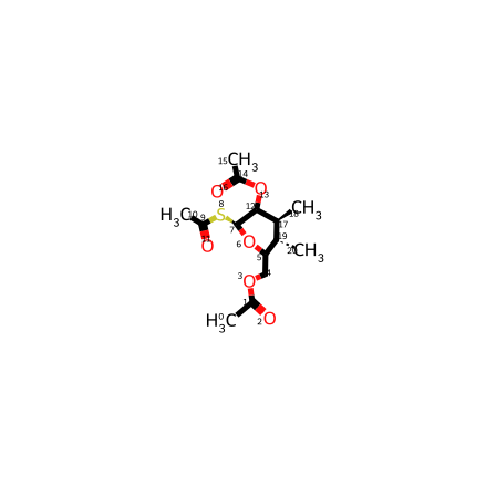 CC(=O)OCC1O[C@@H](SC(C)=O)C(OC(C)=O)[C@@H](C)[C@@H]1C